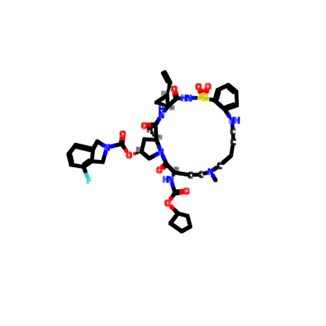 C=C[C@@H]1C[C@@]12NC(=O)[C@@H]1C[C@@H](OC(=O)N3Cc4cccc(F)c4C3)CN1C(=O)[C@@H](NC(=O)OC1CCCC1)CCN(C)CCCCNc1ccccc1S(=O)(=O)NC2=O